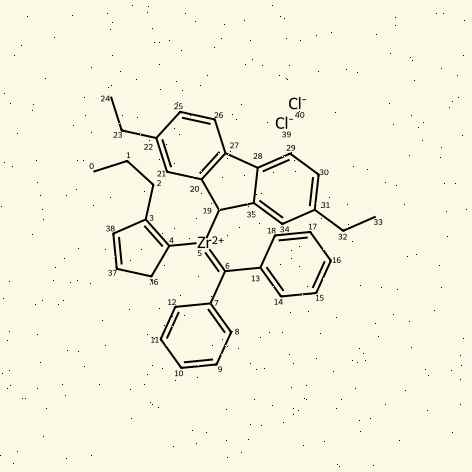 CCCC1=[C]([Zr+2](=[C](c2ccccc2)c2ccccc2)[CH]2c3cc(CC)ccc3-c3ccc(CC)cc32)CC=C1.[Cl-].[Cl-]